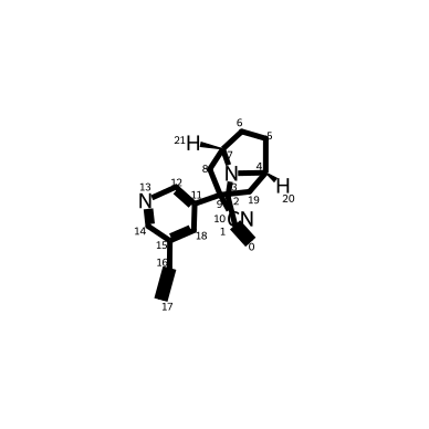 C#CCN1[C@@H]2CC[C@H]1CC(C#N)(c1cncc(C#C)c1)C2